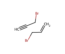 C#CCBr.C=CCBr